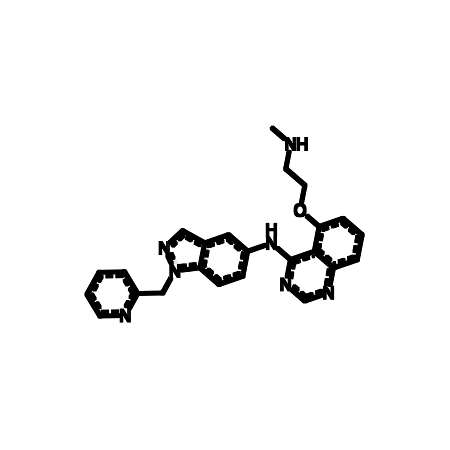 CNCCOc1cccc2ncnc(Nc3ccc4c(cnn4Cc4ccccn4)c3)c12